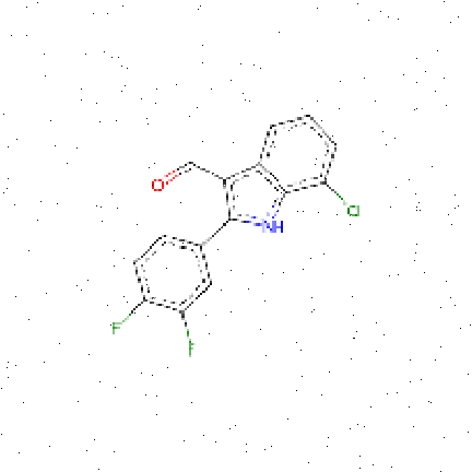 O=Cc1c(-c2ccc(F)c(F)c2)[nH]c2c(Cl)cccc12